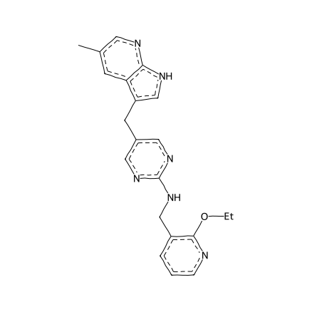 CCOc1ncccc1CNc1ncc(Cc2c[nH]c3ncc(C)cc23)cn1